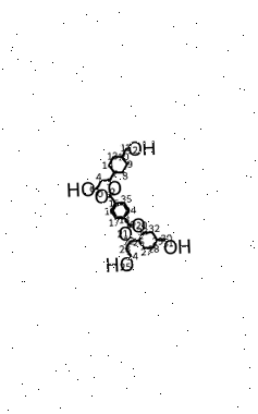 O=C(OC(CCO)C1CCC(CO)CC1)c1ccc(C(=O)OC(CCO)C2CCC(CO)CC2)cc1